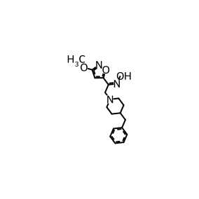 COc1cc(C(CN2CCC(Cc3ccccc3)CC2)=NO)on1